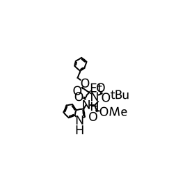 CC[C@](NC(=O)OC(C)(C)C)(C(=O)OCc1ccccc1)C(=O)N(c1c[nH]c2ccccc12)C(C)C(=O)OC